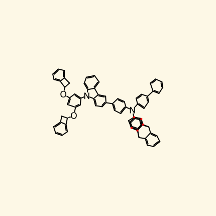 c1ccc(-c2ccc(N(c3ccc(-c4ccc5c(c4)c4ccccc4n5-c4cc(OC5Cc6ccccc65)cc(O[C@@H]5Cc6ccccc65)c4)cc3)c3ccc4c(c3)C3c5ccccc5C4c4ccccc43)cc2)cc1